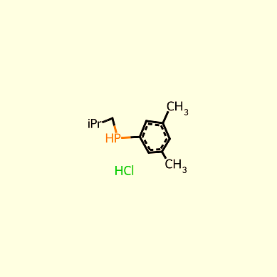 Cc1cc(C)cc(PCC(C)C)c1.Cl